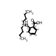 CCCCNCCCC.O=C(O)c1ccccc1O